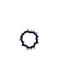 [C]1=C/C=C\C=C\C=C\C=C/C=C/C=C/C=C\CC/1